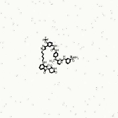 CN(c1ccc(NC(=O)Nc2ccc(OC(F)(F)F)c(-c3cn(CCCCCNc4cccc5c4C(=O)N(C4CCC(=O)NC4=O)C5=O)nn3)c2)cc1)c1ccnc(Nc2cccc(S(N)(=O)=O)c2)n1